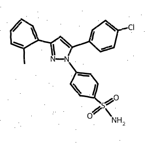 Cc1ccccc1-c1cc(-c2ccc(Cl)cc2)n(-c2ccc(S(N)(=O)=O)cc2)n1